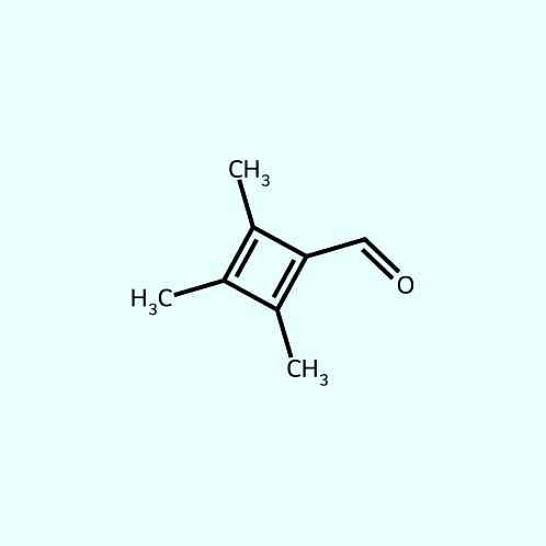 CC1=C(C)C(C=O)=C1C